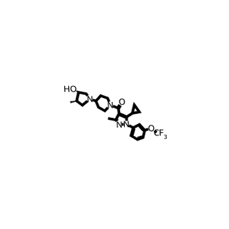 Cc1nn(-c2cccc(OC(F)(F)F)c2)c(C2CC2)c1C(=O)N1CCC(N2C[C@@H](C)[C@H](O)C2)CC1